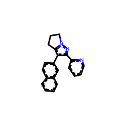 c1ccc(-c2nn3c(c2-c2ccc4ccccc4c2)CCC3)nc1